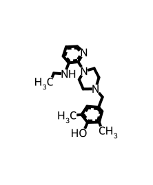 CCNc1cccnc1N1CCN(Cc2cc(C)c(O)c(C)c2)CC1